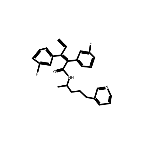 C=C/C(=C(/C(=O)NC(C)CCCc1cccnc1)c1cccc(F)c1)c1cccc(F)c1